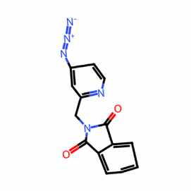 [N-]=[N+]=Nc1ccnc(CN2C(=O)c3ccccc3C2=O)c1